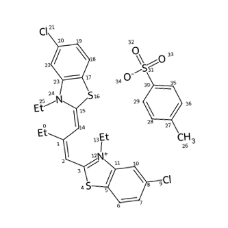 CCC(=Cc1sc2ccc(Cl)cc2[n+]1CC)C=C1Sc2ccc(Cl)cc2N1CC.Cc1ccc(S(=O)(=O)[O-])cc1